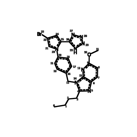 CCCCc1nc2ccc(OC)nc2n1Cc1ccc(-n2cc(Br)cc2-c2nnn[nH]2)cc1